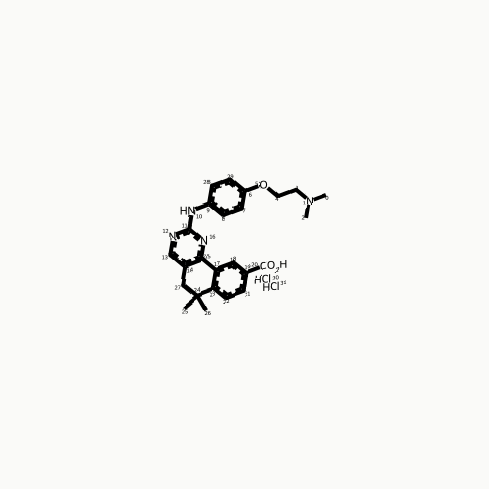 CN(C)CCOc1ccc(Nc2ncc3c(n2)-c2cc(C(=O)O)ccc2C(C)(C)C3)cc1.Cl.Cl